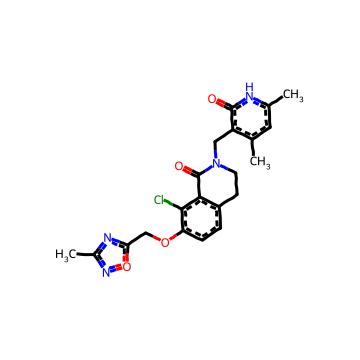 Cc1noc(COc2ccc3c(c2Cl)C(=O)N(Cc2c(C)cc(C)[nH]c2=O)CC3)n1